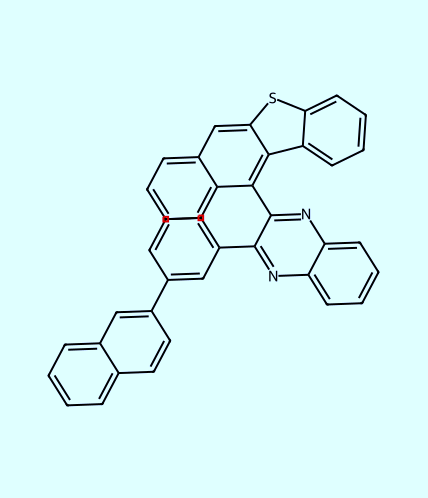 c1cc(-c2ccc3ccccc3c2)cc(-c2nc3ccccc3nc2-c2c3ccccc3cc3sc4ccccc4c23)c1